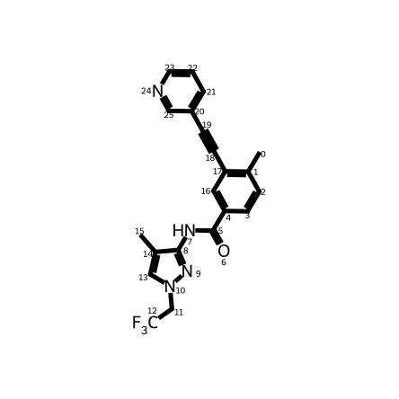 Cc1ccc(C(=O)Nc2nn(CC(F)(F)F)cc2C)cc1C#Cc1cccnc1